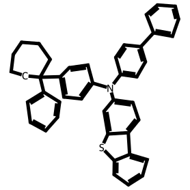 c1ccc(-c2ccc(N(c3ccc(C4(c5ccccc5)CCCCCC4)cc3)c3ccc4c(c3)sc3ccccc34)cc2)cc1